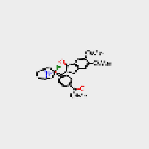 COC(=O)c1ccc(CN2C3CCC2CC(F)(CC2Cc4cc(OC)c(OC)cc4C2=O)C3)cc1